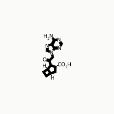 Nc1ncnc2c1ncn2CC(=O)C1[C@H](C(=O)O)C[C@H]2CC[C@@H]12